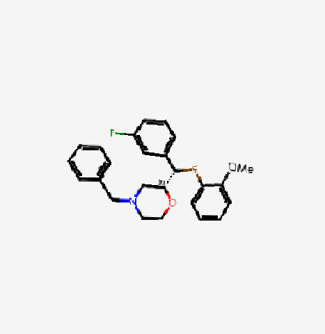 COc1ccccc1SC(c1cccc(F)c1)[C@H]1CN(Cc2ccccc2)CCO1